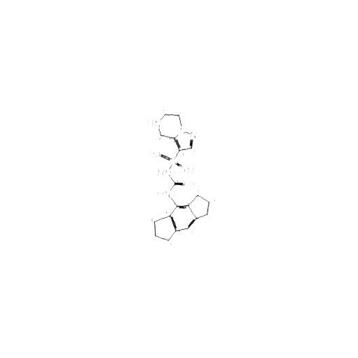 N=S(=O)(NC(=O)Nc1c2c(cc3c1CCC3)CCC2)c1cnn2c1CNCC2